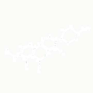 CCCC1CCC(c2ccc(-c3ccc(OCC)c(F)c3C(F)F)cc2F)CC1